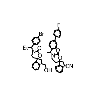 CC(c1ccc(-c2ccc(F)cc2)cc1)N1CCC(CCC#N)(c2ccccc2)OC1=O.CCC(c1ccc(Br)cc1)N1CCC(CCCO)(c2ccccc2)OC1=O